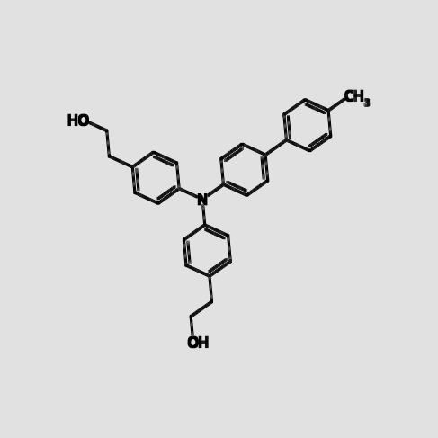 Cc1ccc(-c2ccc(N(c3ccc(CCO)cc3)c3ccc(CCO)cc3)cc2)cc1